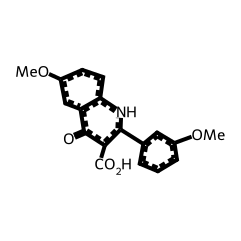 COc1cccc(-c2[nH]c3ccc(OC)cc3c(=O)c2C(=O)O)c1